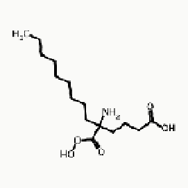 CCCCCCCCCC(N)(CCCC(=O)O)C(=O)OO